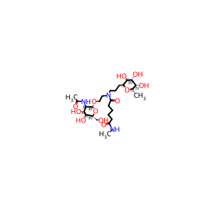 CNC(=O)CCCCC(=O)N(CCC[C@@H]1O[C@@H](C)[C@@H](O)[C@@H](O)[C@@H]1O)CCO[C@@H]1O[C@H](CO)[C@@H](O)[C@H](O)[C@H]1NC(C)=O